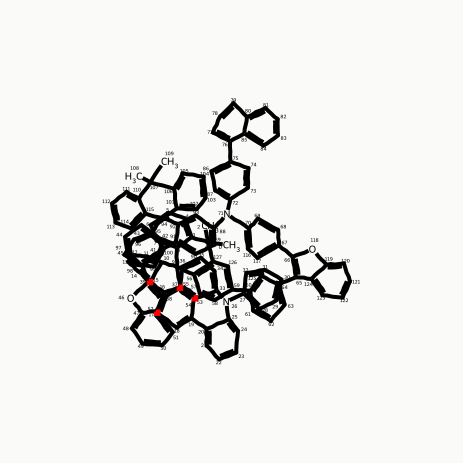 CC1(C)c2ccccc2C2(c3ccccc3-c3ccc(-c4ccccc4N(c4ccccc4)c4cccc(-c5c(-c6ccccc6)oc6ccccc56)c4)cc32)c2ccc(-c3cccc(-c4c(-c5ccc(N(c6ccc(-c7cccc8ccccc78)cc6)c6ccc7c(c6)C6(c8ccccc8-7)c7ccccc7C(C)(C)c7ccccc76)cc5)oc5ccccc45)c3)cc21